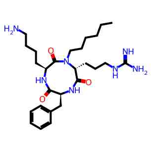 CCCCCCN1C(=O)[C@H](CCCCN)NC(=O)[C@H](Cc2ccccc2)NC(=O)[C@H]1CCCNC(=N)N